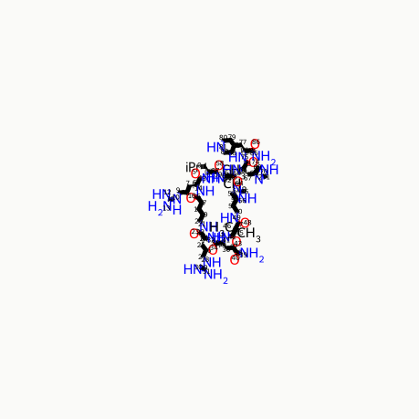 CC(C)C[C@H](NC(=O)[C@H](CCCNC(=N)N)NC(=O)CCCCNC(=O)[C@@H](CCCNC(=N)N)NC(=O)[C@H](CCC(N)=O)NC(=O)C(C)(C)C(=O)NCCc1cnc[nH]1)C(=O)NC(C)(C)C(=O)N[C@@H](Cc1c[nH]cn1)C(=O)N[C@@H](CC1CCNCC1)C(N)=O